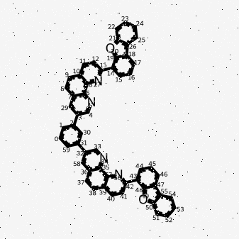 c1cc(-c2cnc3c(ccc4ccc(-c5cccc6c5oc5ccccc56)nc43)c2)cc(-c2cnc3c(ccc4ccc(-c5cccc6c5oc5ccccc56)nc43)c2)c1